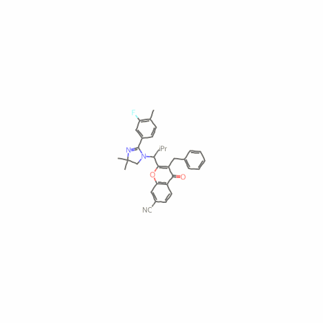 Cc1ccc(C2=NC(C)(C)CN2C(c2oc3cc(C#N)ccc3c(=O)c2Cc2ccccc2)C(C)C)cc1F